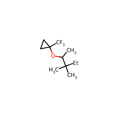 CCC(C)(C)C(C)OC1(C(F)(F)F)CC1